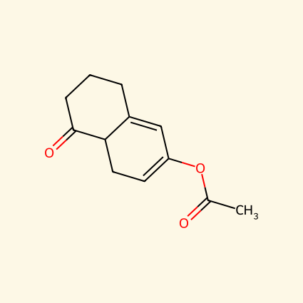 CC(=O)OC1=CCC2C(=O)CCCC2=C1